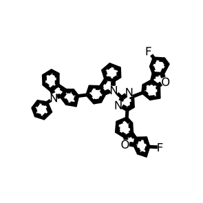 Fc1ccc2oc3ccc(-c4cc(-c5ccc6oc7ccc(F)cc7c6c5)nc(-n5c6ccccc6c6cc(-c7ccc8c(c7)c7ccccc7n8-c7ccccc7)ccc65)n4)cc3c2c1